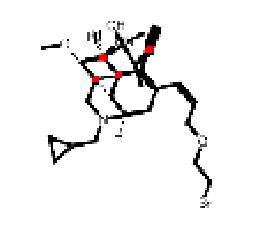 C#CC1=C(/C=C\COCCBr)C[C@H]2N(CC3CC3)CC[C@@]13[C@H](O)[C@]1(OC)CC[C@@]23C[C@@H]1[C@](C)(O)C(C)(C)C